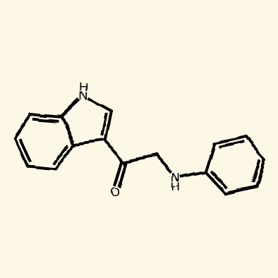 O=C(CNc1ccccc1)c1c[nH]c2ccccc12